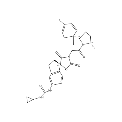 C[C@H]1CC[C@@H](C2(C)C=CC(F)=CC2)N1C(=O)CN1C(=O)O[C@@]2(CCc3cc(NC(=O)NC4CC4)ccc32)C1=O